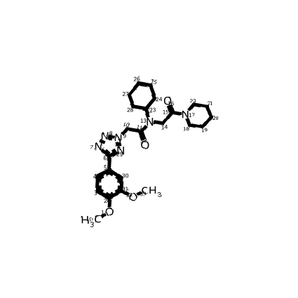 COc1ccc(-c2nnn(CC(=O)N(CC(=O)N3CCCCC3)C3CCCCC3)n2)cc1OC